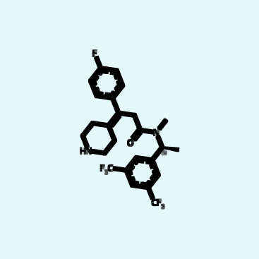 C[C@@H](c1cc(C(F)(F)F)cc(C(F)(F)F)c1)N(C)C(=O)CC(=C1CCNCC1)c1ccc(F)cc1